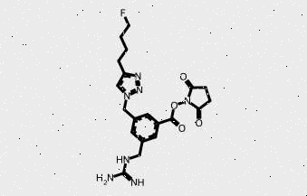 N=C(N)NCc1cc(Cn2cc(CCCCF)nn2)cc(C(=O)ON2C(=O)CCC2=O)c1